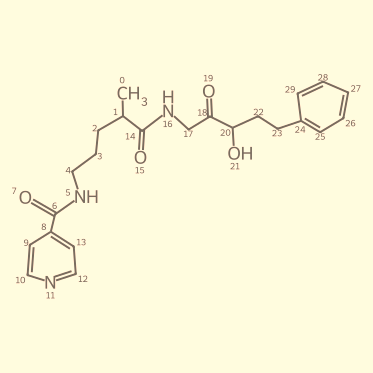 CC(CCCNC(=O)c1ccncc1)C(=O)NCC(=O)C(O)CCc1ccccc1